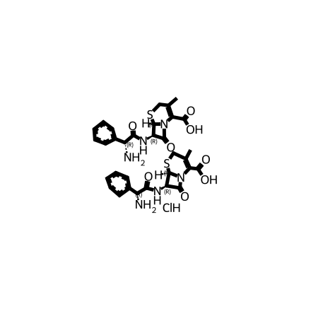 CC1=C(C(=O)O)N2C(=O)[C@@H](NC(=O)[C@H](N)c3ccccc3)[C@H]2SC1.CC1=C(C(=O)O)N2C(=O)[C@@H](NC(=O)[C@H](N)c3ccccc3)[C@H]2SC1.Cl